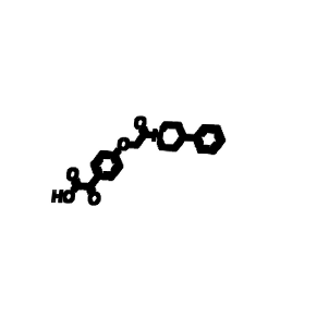 O=C(O)C(=O)c1ccc(OCC(=O)N2CCC(c3ccccc3)CC2)cc1